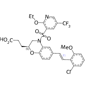 CCOc1ncc(C(F)(F)F)cc1S(=O)(=O)N1C[C@H](CCC(=O)O)Oc2ccc(/C=C/c3c(Cl)cccc3OC)cc21